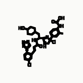 Cc1cc(C2(Cl)CNC(C(CC3CCC(O)CC3)NC(=O)C=Cc3cc(Cl)ccc3-n3cnnn3)=N2)ccc1NC(=O)O